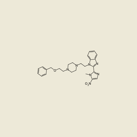 Cn1c([N+](=O)[O-])cnc1-c1nc2ccccc2n1CCN1CCN(CCOCc2ccccc2)CC1